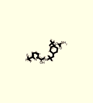 CC(C)(CC1CCC(OC(N)=O)(C(C)(C)C)CC1)NC[C@H](O)c1cccc(C(F)(F)F)n1